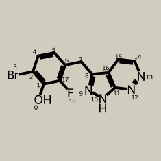 Oc1c(Br)ccc(Cc2n[nH]c3nnccc23)c1F